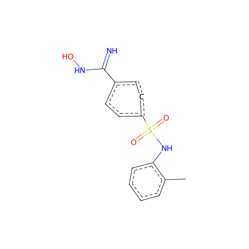 Cc1ccccc1NS(=O)(=O)c1ccc(C(=N)NO)cc1